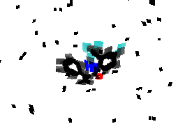 CC1(C)[C@@H](C(=O)Nc2ccc(F)cc2C(F)(F)F)[C@@H]1c1ccccc1